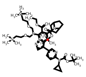 C=C(OCC)c1c(C2CC3CCC(C2)N3C(=O)OC(C)(C)C)nc2c(-c3ccc(N(C(=O)OC(C)(C)C)C4CC4)nc3)cnn2c1N(COCC[Si](C)(C)C)COCC[Si](C)(C)C